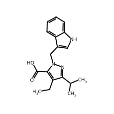 CCc1c(C(C)C)nn(Cc2c[nH]c3ccccc23)c1C(=O)O